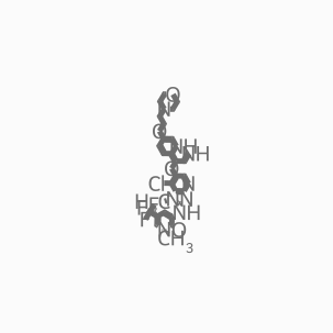 Cn1cc(C(F)(F)F)cc(Nc2nc3ncc(O/C(C=N)=C4\C=CC(OCCN5CCOCC5)=CN4)c(Cl)c3n2C)c1=O